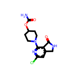 NC(=O)OC1CCN(c2nc(Cl)cc3c2C(=O)NC3)CC1